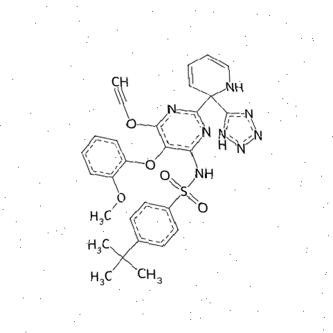 C#COc1nc(C2(c3nnn[nH]3)C=CC=CN2)nc(NS(=O)(=O)c2ccc(C(C)(C)C)cc2)c1Oc1ccccc1OC